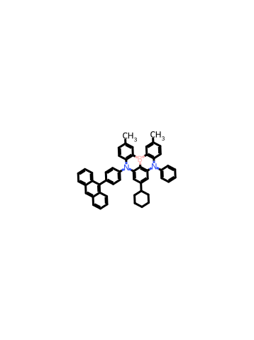 Cc1ccc2c(c1)B1c3cc(C)ccc3N(c3ccc(-c4c5ccccc5cc5ccccc45)cc3)c3cc(C4CCCCC4)cc(c31)N2c1ccccc1